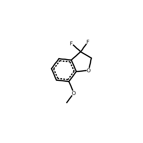 COc1cccc2c1OCC2(F)F